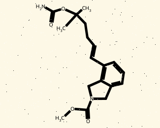 COC(=O)N1Cc2cccc(/C=C/CCC(C)(C)OC(N)=O)c2C1